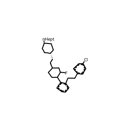 CCCCCCC[C@H]1CC[C@H](CCC2CCC(c3ccccc3CCc3ccc(Cl)cc3)C(F)C2)CC1